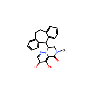 CN1CC(C2c3ccccc3CCc3ccccc32)N2N=CC(O)C(O)=C2C1=O